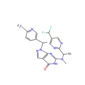 CCC(c1ncc(C(F)F)cn1)N(C)c1nc2c(cnn2C(C)c2ccc(C(F)(F)F)nc2)c(=O)[nH]1